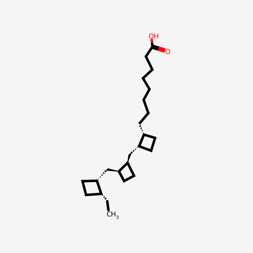 CC[C@@H]1CC[C@@H]1C[C@@H]1CC[C@@H]1C[C@H]1CC[C@H]1CCCCCCCC(=O)O